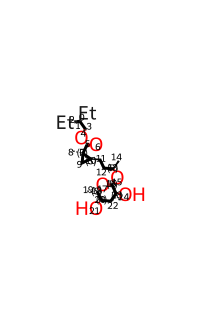 CCC(CC)COC(=O)[C@]1(C)C[C@@H]1CC[C@@H](C)O[C@@H]1O[C@@H](C)[C@H](O)C[C@H]1O